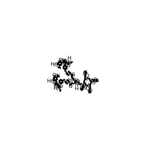 CCNC(=O)c1nnc(-c2cc(C(C)C)c(O)cc2O)n1-c1ccc(CN2CCN(C(=O)CCNC(=O)[C@@H](CCC(=O)N3CCN(Cc4ccc(-n5c(C(=O)NCC)nnc5-c5cc(C(C)C)c(O)cc5O)cc4)CC3)NC(=O)CC[C@H](C(=O)OC(C)(C)C)N3CCN(CC(=O)OC(C)(C)C)CCN(CC(=O)OC(C)(C)C)CCN(CC(=O)OC(C)(C)C)CC3)CC2)cc1